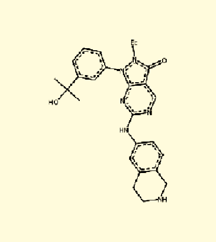 CCn1c(=O)c2cnc(Nc3ccc4c(c3)CCNC4)nc2n1-c1cccc(C(C)(C)O)c1